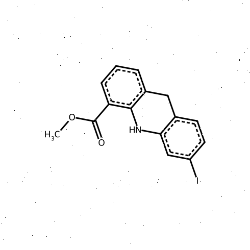 COC(=O)c1cccc2c1Nc1cc(I)ccc1C2